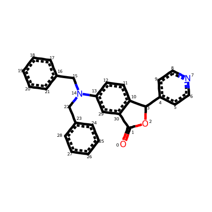 O=C1OC(c2ccncc2)c2ccc(N(Cc3ccccc3)Cc3ccccc3)cc21